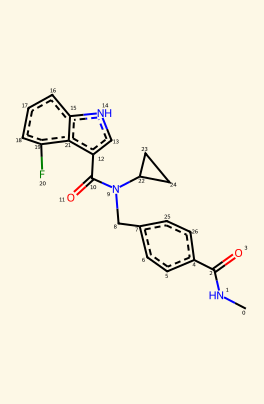 CNC(=O)c1ccc(CN(C(=O)c2c[nH]c3cccc(F)c23)C2CC2)cc1